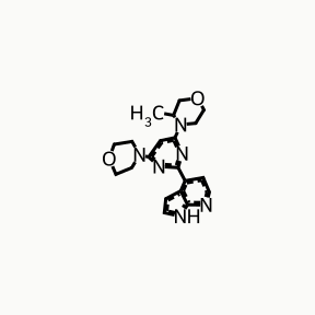 CC1COCCN1c1cc(N2CCOCC2)nc(-c2ccnc3[nH]ccc23)n1